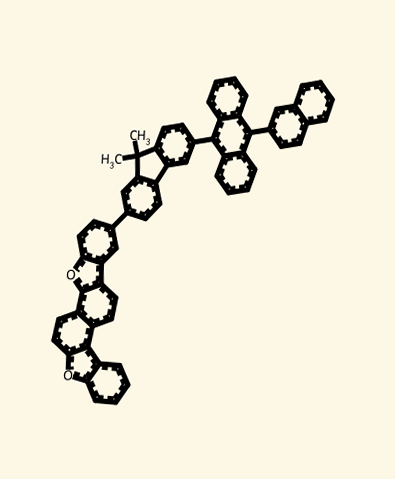 CC1(C)c2ccc(-c3c4ccccc4c(-c4ccc5ccccc5c4)c4ccccc34)cc2-c2ccc(-c3ccc4oc5c(ccc6c5ccc5oc7ccccc7c56)c4c3)cc21